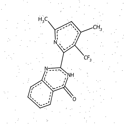 Cc1cc(C)c(C(F)(F)F)c(-c2nc3ccccc3c(=O)[nH]2)n1